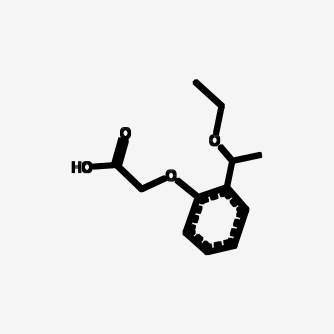 CCOC(C)c1ccccc1OCC(=O)O